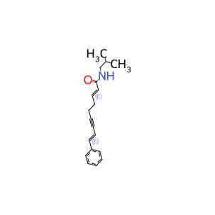 CC(C)CNC(=O)/C=C/CCC#C/C=C/c1ccccc1